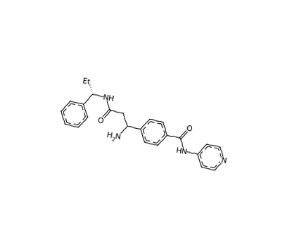 CC[C@H](NC(=O)CC(N)c1ccc(C(=O)Nc2ccncc2)cc1)c1ccccc1